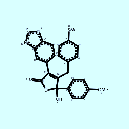 COc1ccc(C2(O)OC(=O)C(c3ccc4nsnc4c3)=C2Cc2ccc(SC)cc2)cc1